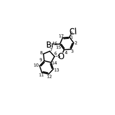 Clc1ccc(O[C@H]2CCc3ccccc32)c(Br)c1